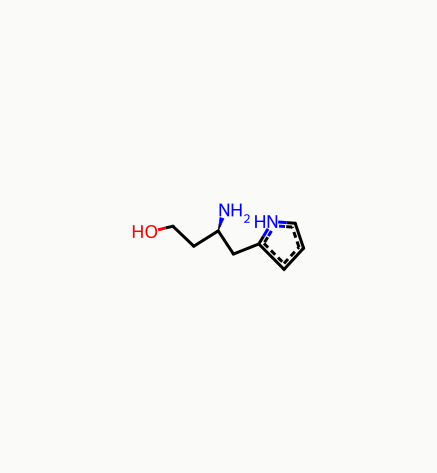 N[C@H](CCO)Cc1ccc[nH]1